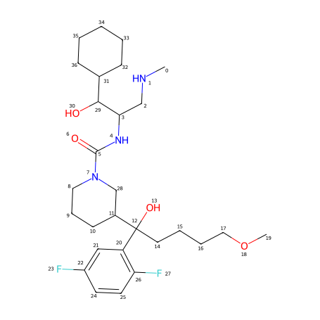 CNCC(NC(=O)N1CCCC(C(O)(CCCCOC)c2cc(F)ccc2F)C1)C(O)C1CCCCC1